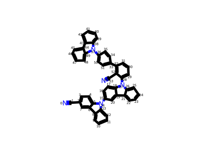 N#Cc1ccc2c(c1)c1ccccc1n2-c1ccc2c(c1)c1ccccc1n2-c1cccc(-c2ccc(-n3c4ccccc4c4ccccc43)cc2)c1C#N